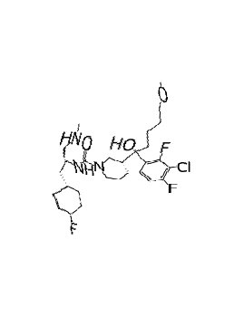 CNC[C@H](C[C@H]1CC[C@H](F)CC1)NC(=O)N1CCC[C@@H]([C@@](O)(CCCCOC)c2ccc(F)c(Cl)c2F)C1